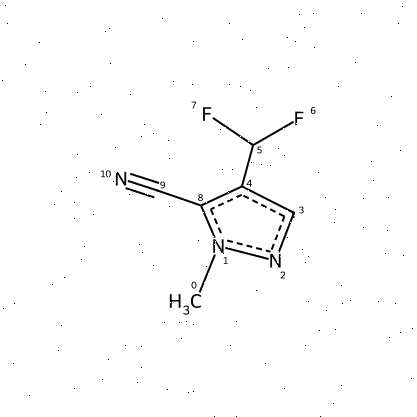 Cn1n[c]c(C(F)F)c1C#N